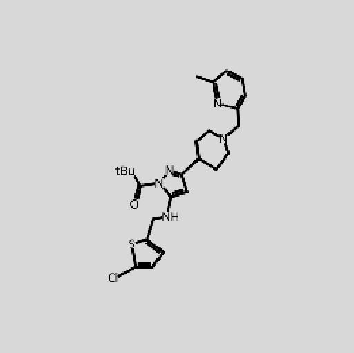 Cc1cccc(CN2CCC(c3cc(NCc4ccc(Cl)s4)n(C(=O)C(C)(C)C)n3)CC2)n1